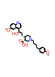 COc1ccc(CCCCN2CC[C@@H](CC[C@H](O)c3ccnc4ccc(OC)cc34)[C@@H](C(=O)O)C2)cc1